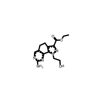 CCOC(=O)c1nn(CCO)c2c1CCc1cnc(N)nc1-2